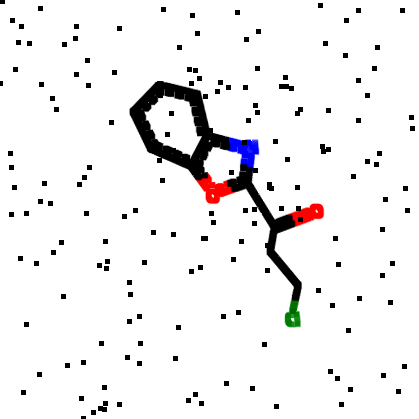 O=C(CCCl)c1nc2ccccc2o1